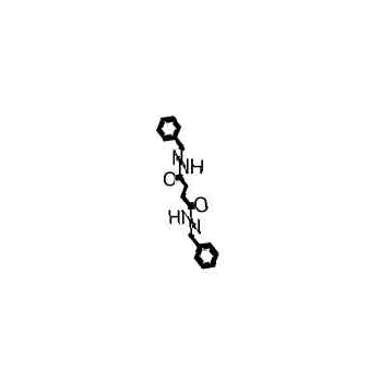 O=C(CCC(=O)NN=Cc1ccccc1)NN=Cc1ccccc1